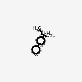 C=CC(N)(CCCC)c1ccccc(C2CCCCCCCCC2)cccc1